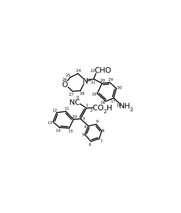 N#CC(C(=O)O)=C(c1ccccc1)c1ccccc1.Nc1ccc(C(C=O)N2CCOCC2)cc1